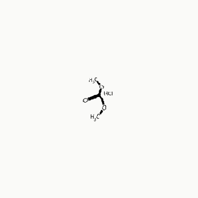 COC(=O)OC.Cl